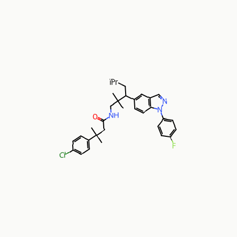 CC(C)CC(c1ccc2c(cnn2-c2ccc(F)cc2)c1)C(C)(C)CNC(=O)CC(C)(C)c1ccc(Cl)cc1